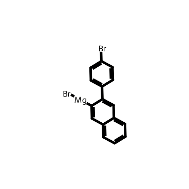 [Br][Mg][c]1cc2ccccc2cc1-c1ccc(Br)cc1